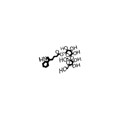 O=C(CCCc1c[nH]c2ccccc12)OC[C@H]1O[C@H](O[C@]2(CO)O[C@H](CO)[C@@H](O)[C@@H]2O)[C@H](O)[C@@H](O)[C@@H]1O